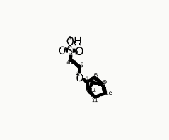 O=S(=O)(O)CCOC1CC2CCC1C2